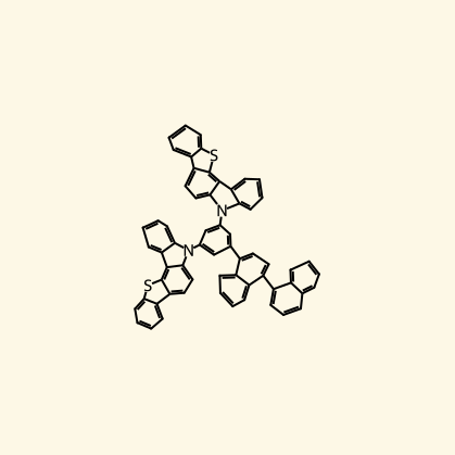 c1ccc2c(-c3ccc(-c4cc(-n5c6ccccc6c6c7sc8ccccc8c7ccc65)cc(-n5c6ccccc6c6c7sc8ccccc8c7ccc65)c4)c4ccccc34)cccc2c1